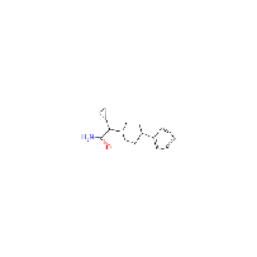 NC(=O)C(C1CCC(c2ccccc2)CC1)C1CC1